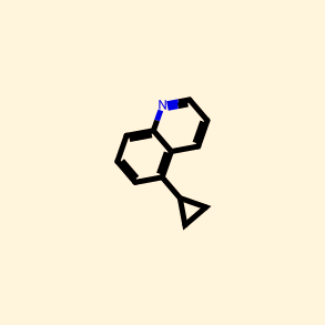 c1cc(C2CC2)c2cccnc2c1